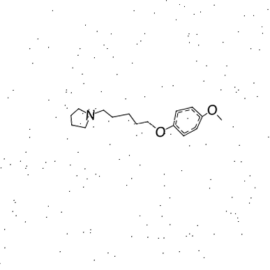 COc1ccc(OCCCCCN2CCCC2)cc1